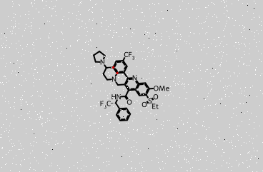 CCS(=O)(=O)c1cc2c(C(=O)N[C@H](c3ccccc3)C(F)(F)F)c(CN3CCC(N4CCCC4)CC3)c(-c3cccc(C(F)(F)F)c3)nc2cc1OC